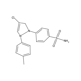 Cc1ccc(N2C=C(Cl)CN2c2ccc(S(N)(=O)=O)cc2)cc1